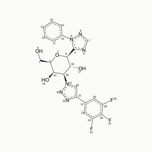 OC[C@H]1O[C@@H](c2ncnn2-c2ccccc2)[C@H](O)[C@@H](n2cc(-c3cc(F)c(F)c(F)c3)nn2)[C@H]1O